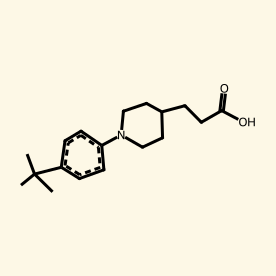 CC(C)(C)c1ccc(N2CCC(CCC(=O)O)CC2)cc1